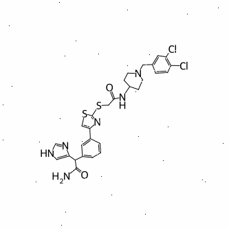 NC(=O)C(c1cccc(-c2csc(SCC(=O)NC3CCN(Cc4ccc(Cl)c(Cl)c4)CC3)n2)c1)c1c[nH]cn1